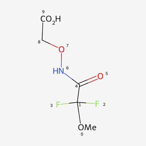 COC(F)(F)C(=O)NOCC(=O)O